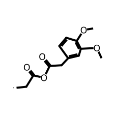 [CH2]CC(=O)OC(=O)Cc1ccc(OC)c(OC)c1